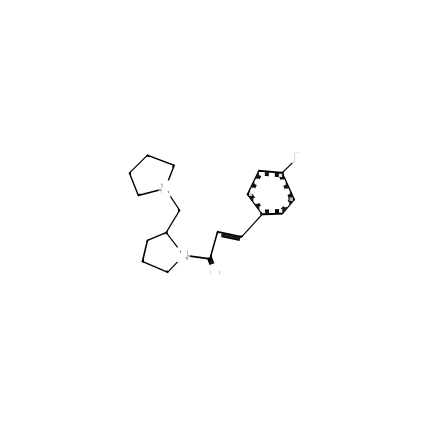 O=C(C=Cc1ccc(F)cc1)N1CCCC1CN1CCCC1